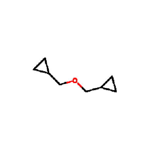 C1CC1COCC1CC1